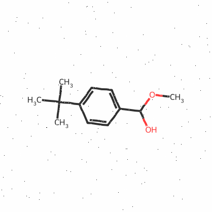 COC(O)c1ccc(C(C)(C)C)cc1